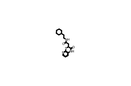 O=C(CC1Sc2ncccc2NC1=O)NCCC1CCCCC1